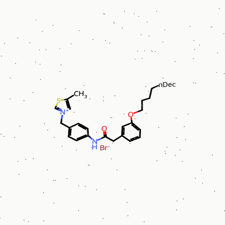 CCCCCCCCCCCCCCOc1cccc(CC(=O)Nc2ccc(C[n+]3csc(C)c3)cc2)c1.[Br-]